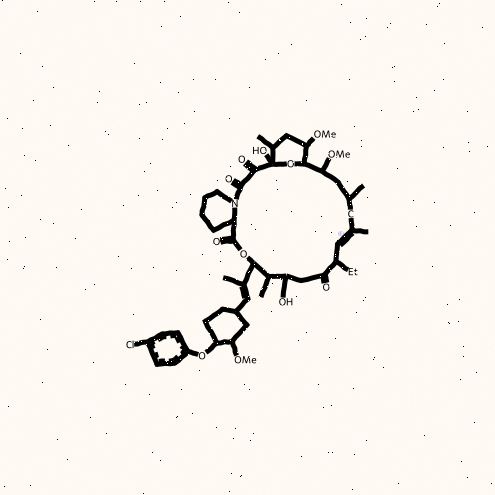 CCC1/C=C(\C)CC(C)CC(OC)C2OC(O)(C(=O)C(=O)N3CCCCC3C(=O)OC(C(C)=CC3CCC(Oc4ccc(Cl)cc4)C(OC)C3)C(C)C(O)CC1=O)C(C)CC2OC